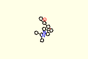 c1ccc(-c2cc(-c3ccccc3)nc(N3c4ccccc4C(c4ccccc4)(c4cccc(-c5ccc6c(c5)oc5ccccc56)c4)c4ccccc43)c2)cc1